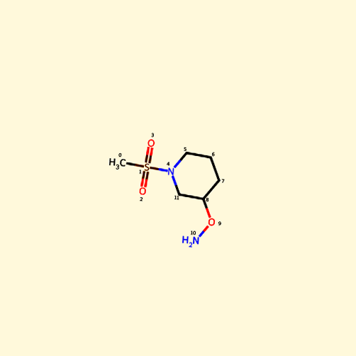 CS(=O)(=O)N1CCCC(ON)C1